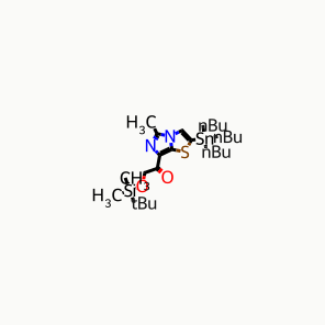 CCC[CH2][Sn]([CH2]CCC)([CH2]CCC)[c]1cn2c(C)nc(C(=O)CO[Si](C)(C)C(C)(C)C)c2s1